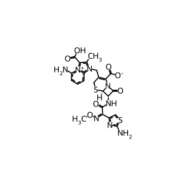 CO/N=C(\C(=O)N[C@@H]1C(=O)N2C(C(=O)[O-])=C(Cn3c(C)c(C(=O)O)[n+]4c(N)cccc34)CS[C@H]12)c1csc(N)n1